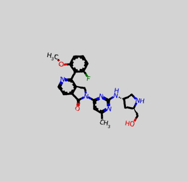 COc1cccc(F)c1-c1nccc2c1CN(c1cc(C)nc(N[C@@H]3CN[C@@H](CO)C3)n1)C2=O